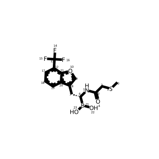 CSCC(=O)N[C@@H](Cc1coc2c(C(F)(F)F)cccc12)B(O)O